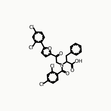 O=C(CN(C(=O)c1ccc(Cl)cc1Cl)C(Cc1ccccc1)C(=O)O)c1ccc(-c2ccc(Cl)cc2Cl)o1